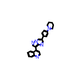 c1ccc2c(-c3cnn4cc(-c5ccc(N6CCCCC6)cc5)cnc34)ccnc2c1